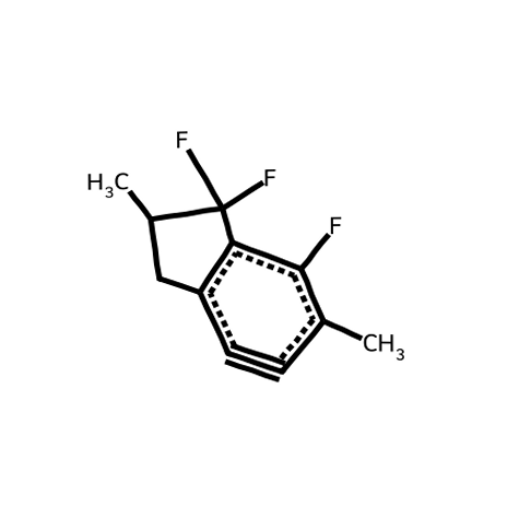 Cc1c#cc2c(c1F)C(F)(F)C(C)C2